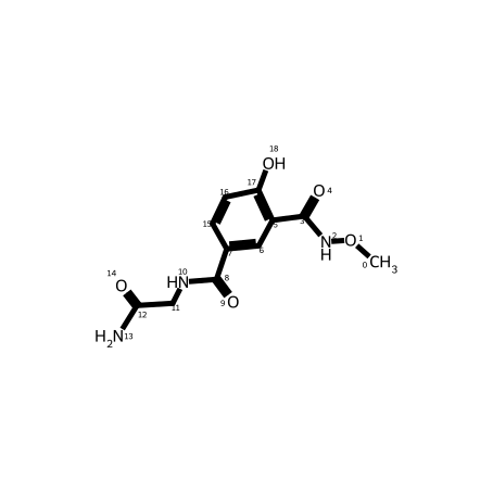 CONC(=O)c1cc(C(=O)NCC(N)=O)ccc1O